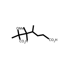 COC(C)(C(=O)O)C(C)(C)C(C)CCC(=O)O